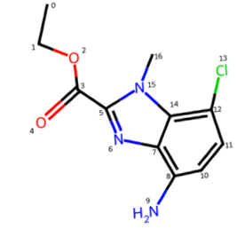 CCOC(=O)c1nc2c(N)ccc(Cl)c2n1C